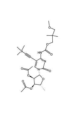 COCC(C)(C)COC(=O)Nc1nc(=O)n([C@@H]2O[C@H](C)[C@@H](OC(C)=O)[C@H]2OC(C)=O)cc1C#C[Si](C)(C)C